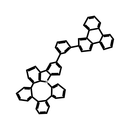 c1cc(-c2ccc3c4ccccc4c4ccccc4c3c2)cc(-c2ccc3c(c2)c2cccc4c5ccccc5c5ccccc5c5ccccc5n3c42)c1